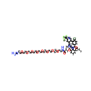 Cc1cccc(OCCC(=O)NCCOCCOCCOCCOCCOCCOCCOCCOCCN)c1N(C)C(=O)c1ccc(Cl)c(-c2cnc(C(F)(F)F)cc2C#N)c1